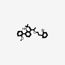 COc1ccccc1-c1cccc2c1NC(C)(C)C=C2C(C)OCCc1ccccc1Br